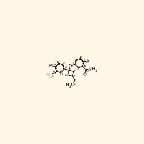 CCC1CC(Oc2ccc(F)c(C(C)=O)c2)(c2ccc(F)c(C)c2)C1